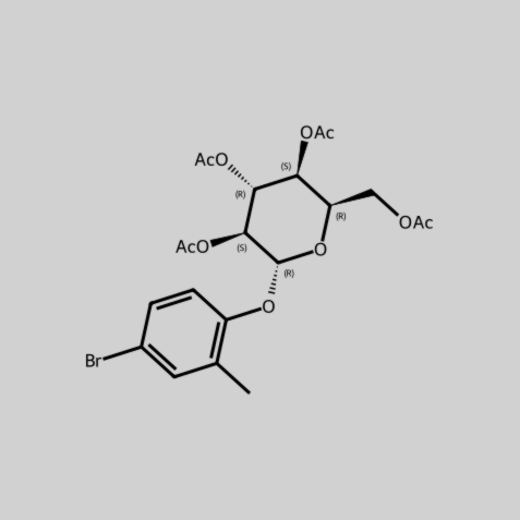 CC(=O)OC[C@H]1O[C@H](Oc2ccc(Br)cc2C)[C@@H](OC(C)=O)[C@H](OC(C)=O)[C@H]1OC(C)=O